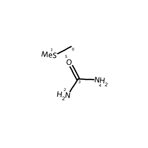 CSC.NC(N)=O